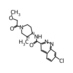 COCC(=O)N1CC[C@H](NC(=O)c2cc3ccc(Cl)cc3nn2)[C@H](C)C1